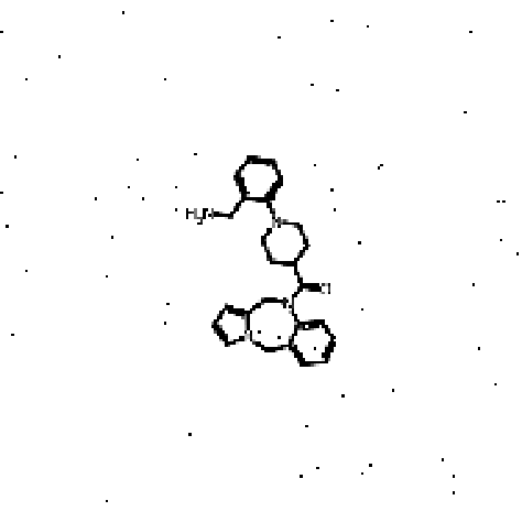 NCc1ccccc1N1CCC(C(=O)N2Cc3cccn3Cc3ccccc32)CC1